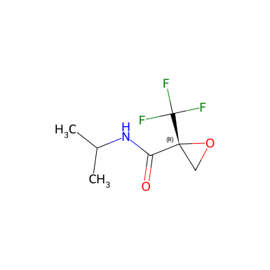 CC(C)NC(=O)[C@@]1(C(F)(F)F)CO1